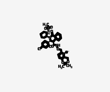 CC1(C)OCc2c(ccc(CONC(=O)[C@@H]3c4ccccc4C(=O)N([C@H]4CCCC[C@@H]4NS(C)(=O)=O)[C@H]3c3ccc(Cl)cc3Cl)[n+]2[O-])O1